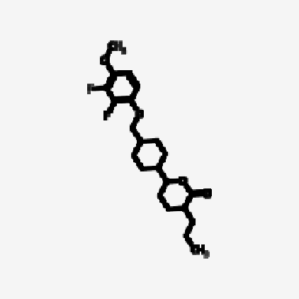 CCCC1CCC(C2CCC(COc3ccc(OC)c(F)c3F)CC2)OC1=O